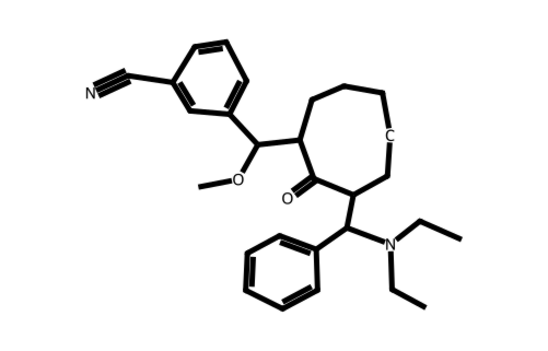 CCN(CC)C(c1ccccc1)C1CCCCCC(C(OC)c2cccc(C#N)c2)C1=O